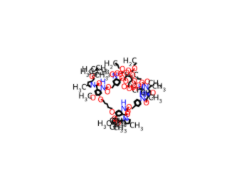 C=CCOC(=O)NC(C(=O)NC(C)C(=O)Nc1ccc(COC(=O)Nc2cc(OCCCCCOc3cc(NC(=O)OCc4ccc(O[C@H]5O[C@](CC=C)(C(=O)O)[C@@H](OC(=O)OCC=C)[C@H](OC(=O)OCC=C)[C@H]5OC(=O)OCC=C)c([N+](=O)[O-])c4)c(C(=O)N4C=C(C)CC4CO[Si](C)(C)C(C)(C)C)cc3OC)c(OC)cc2C(=O)N2C=C(C)CC2CO[Si](C)(C)C(C)(C)C)cc1)C(C)C